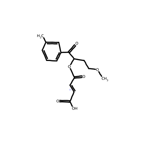 COCCC(OC(=O)/C=C/C(=O)O)C(=O)c1cccc(C)c1